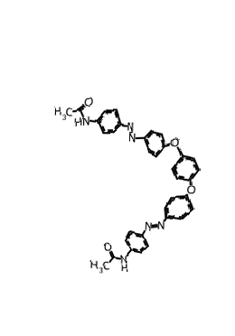 CC(=O)Nc1ccc(N=Nc2ccc(Oc3ccc(Oc4ccc(N=Nc5ccc(NC(C)=O)cc5)cc4)cc3)cc2)cc1